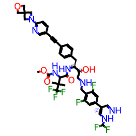 COC(=O)NC(C(=O)N[C@@H](Cc1ccc(C#Cc2ccc(N3CC4(COC4)C3)nc2)cc1)[C@@H](O)CNCc1c(F)cc(/C(C=N)=C/NC(F)F)cc1F)C(C)(C)C(F)(F)F